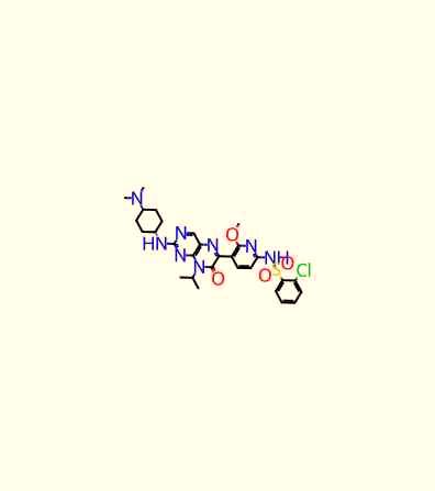 COc1nc(NS(=O)(=O)c2ccccc2Cl)ccc1-c1nc2cnc(N[C@H]3CC[C@H](N(C)C)CC3)nc2n(C(C)C)c1=O